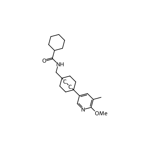 COc1ncc(C23CCC(CNC(=O)C4CCCCC4)(CC2)CC3)cc1C